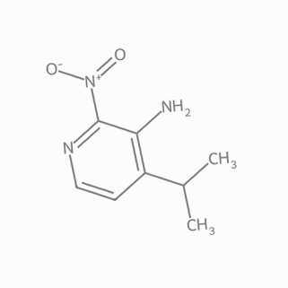 CC(C)c1ccnc([N+](=O)[O-])c1N